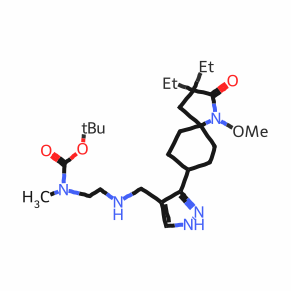 CCC1(CC)CC2(CCC(c3n[nH]cc3CNCCN(C)C(=O)OC(C)(C)C)CC2)N(OC)C1=O